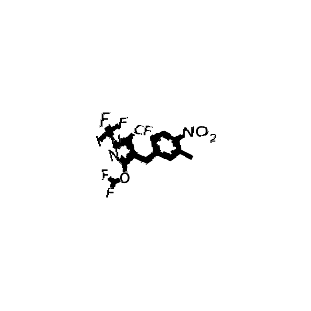 Cc1cc(Cc2c(OC(F)F)nn(C(F)(F)I)c2C(F)(F)F)ccc1[N+](=O)[O-]